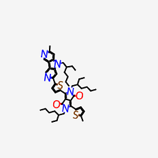 CCCCC(CC)CN1C(=O)C2=C(c3ccc(-c4cc5c(cn4)c4cnc(C)cc4n5CC(CC)CCCC)s3)N(CC(CC)CCCC)C(=O)C2=C1c1ccc(C)s1